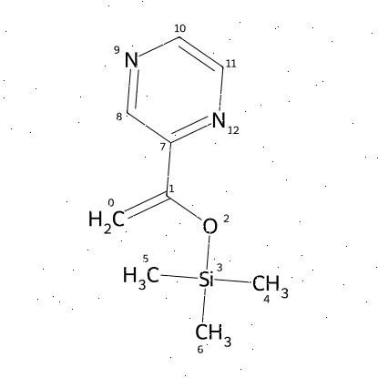 C=C(O[Si](C)(C)C)c1cnccn1